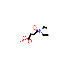 [CH2]OC(=O)CCC(=O)N(CC)CC